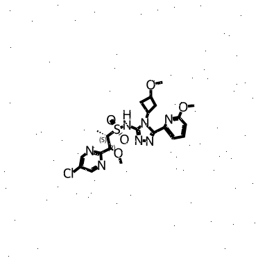 COc1cccc(-c2nnc(NS(=O)(=O)[C@@H](C)[C@H](OC)c3ncc(Cl)cn3)n2C2CC(OC)C2)n1